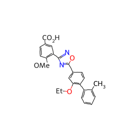 CCOc1cc(-c2nc(-c3cc(C(=O)O)ccc3OC)no2)ccc1-c1ccccc1C